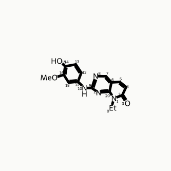 CCn1c(=O)ccc2cnc(Nc3ccc(O)c(OC)c3)nc21